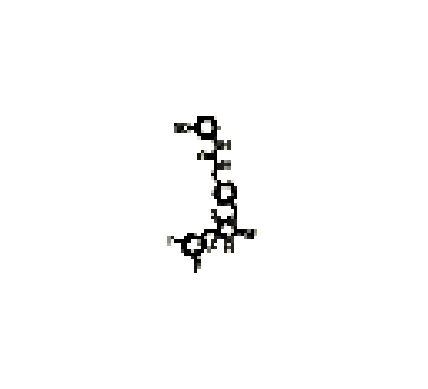 C[C@]1(Cc2cc(F)cc(F)c2)NC(=N)N(Cc2ccc(CNC(=O)Nc3cccc(C#N)c3)cc2)C1=O